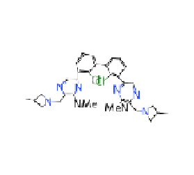 CNc1nc(-c2cccc(-c3cccc(-c4cnc(CN5CC(C)C5)c(NC)n4)c3Cl)c2Cl)cnc1CN1CC(C)C1